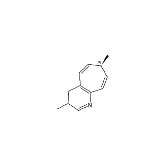 CC1C=NC2=C(C=C[C@@H](C)C=C2)C1